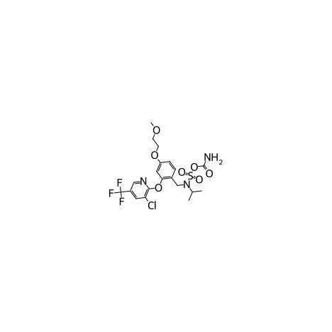 COCCOc1ccc(CN(C(C)C)S(=O)(=O)OC(N)=O)c(Oc2ncc(C(F)(F)F)cc2Cl)c1